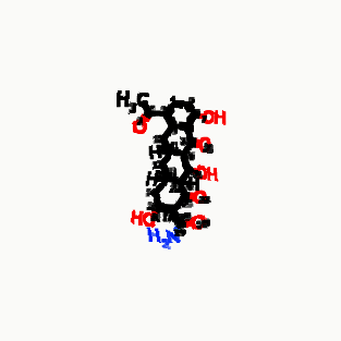 CC(=O)c1ccc(O)c2c1C[C@H]1C[C@H]3CC(O)=C(C(N)=O)C(=O)[C@H]3C(O)=C1C2=O